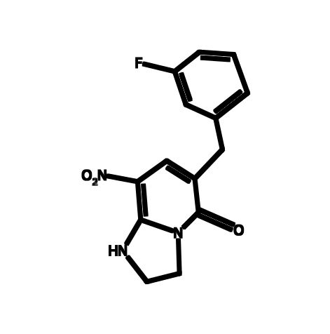 O=c1c(Cc2cccc(F)c2)cc([N+](=O)[O-])c2n1CCN2